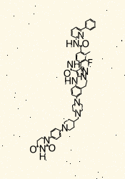 Cc1c(C(=O)Nc2cccc(-c3ccccc3)n2)ccc(-c2nn3c(c2C(N)=O)Nc2ccc(N4CCN(CC5CCN(c6ccc(N7CCC(=O)NC7=O)cc6)CC5)CC4)cc2CC3)c1F